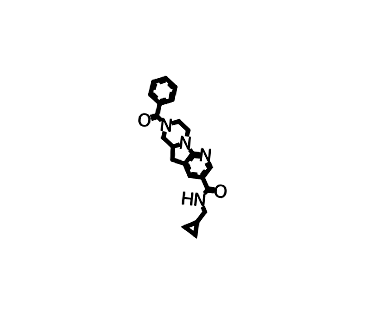 O=C(NCC1CC1)c1cnc2c(c1)CC1CN(C(=O)c3ccccc3)CCN21